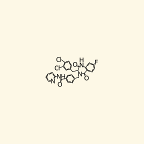 O=C(Nc1ccccn1)c1ccc(CN2C(=O)c3ccc(F)cc3NC(=O)C2Cc2ccc(Cl)c(Cl)c2)cc1